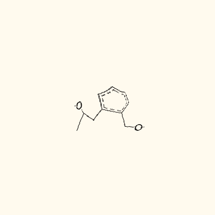 CC([O])Cc1ccccc1C[O]